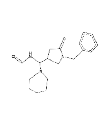 O=CNC(C1CC(=O)N(Cc2ccccc2)C1)N1CCCCC1